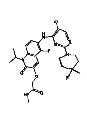 CNC(=O)COc1cc2c(F)c(Nc3nc(N4CCC(C)(F)CC4)ncc3Cl)ccc2n(C(C)C)c1=O